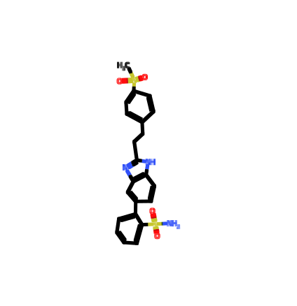 CS(=O)(=O)c1ccc(CCc2nc3cc(-c4ccccc4S(N)(=O)=O)ccc3[nH]2)cc1